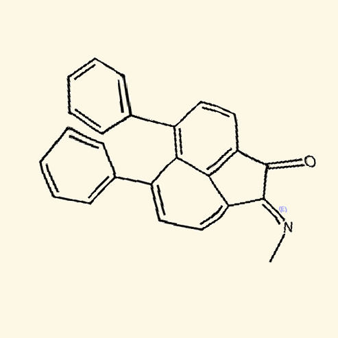 C/N=C1/C(=O)c2ccc(-c3ccccc3)c3c(-c4ccccc4)ccc1c23